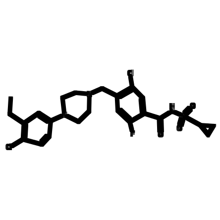 CCc1cc(N2CCN(Cc3cc(F)c(C(=O)NS(=O)(=O)C4CC4)cc3Cl)CC2)ccc1Cl